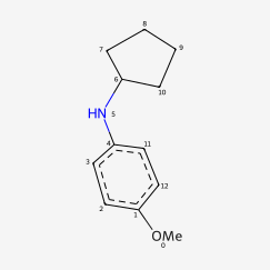 COc1ccc(NC2CCCC2)cc1